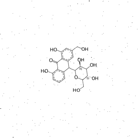 O=C1c2c(O)cccc2C(C2OC(CO)[C@@H](O)C(O)[C@@H]2O)c2cc(CO)cc(O)c21